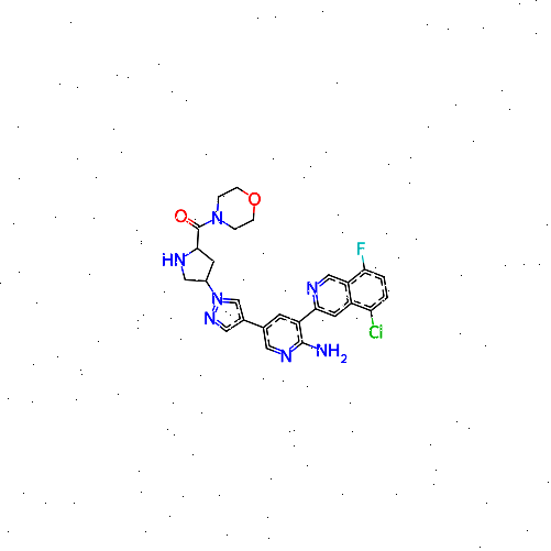 Nc1ncc(-c2cnn(C3CNC(C(=O)N4CCOCC4)C3)c2)cc1-c1cc2c(Cl)ccc(F)c2cn1